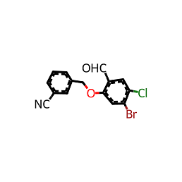 N#Cc1cccc(COc2cc(Br)c(Cl)cc2C=O)c1